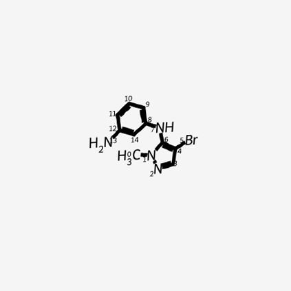 Cn1ncc(Br)c1Nc1cccc(N)c1